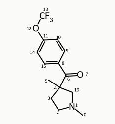 CN1CCC(C)(C(=O)c2ccc(OC(F)(F)F)cc2)C1